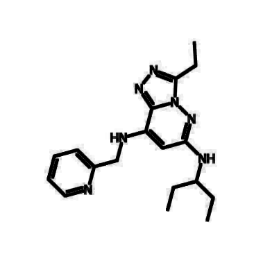 CCc1nnc2c(NCc3ccccn3)cc(NC(CC)CC)nn12